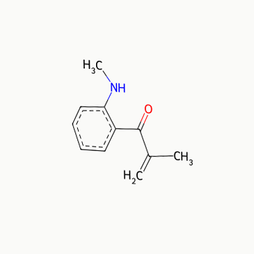 C=C(C)C(=O)c1ccccc1NC